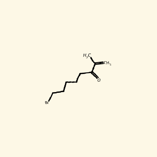 C=C(C)C(=O)C[CH]CCCBr